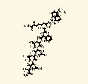 CCCCCCCCCC(=O)NCCCCC(CNS(=O)(=O)c1cccc2c(N(C)C)cccc12)NC(O)C(=O)NC(C(=O)NC(NC(=N)N)C(=O)NC(NC(=N)N)C(=O)NC(NC(=N)N)C(=O)NC(NC(=N)N)C(=O)NC(N)C(N)=O)c1ccccc1